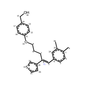 Cc1ccc(/C=C(\CCCOc2ccc(CO)cc2)c2ccsc2)cc1C